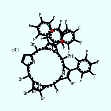 Cl.Fc1c(F)c(F)c(C2=C(Br)c3nc2c(Br)c2c(-c4c(F)c(F)c(F)c(F)c4F)c(-c4c(F)c(F)c(F)c(F)c4F)c(c(Br)c4nc(c(Br)c5c(Br)c(Br)c(c3Br)n5Br)C=C4)n2-c2c(F)c(F)c(F)c(F)c2F)c(F)c1F